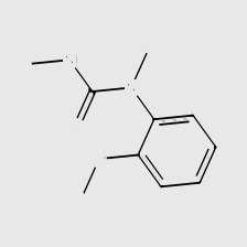 CNC(=S)N(C)c1ccccc1OC